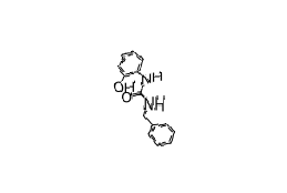 O=C(NCc1ccccc1)Nc1ccccc1O